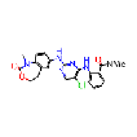 CNC(=O)c1ccccc1Nc1nc(Nc2ccc3c(c2)CCOC(=O)N3C)ncc1Cl